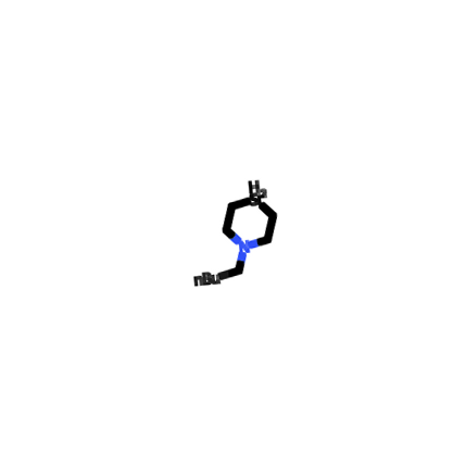 CCCCCN1CC[SiH2]CC1